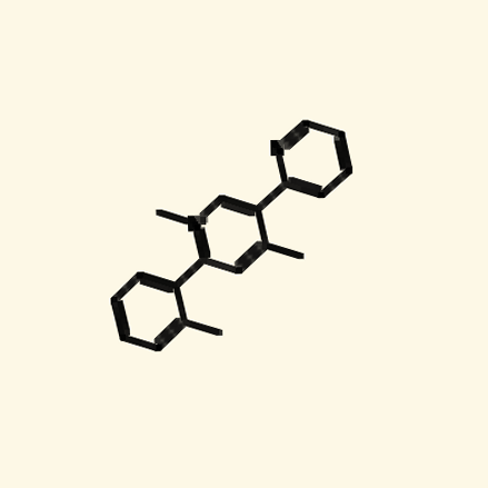 Cc1cc(-c2ccccc2C)[n+](C)cc1-c1ccccn1